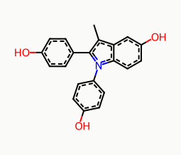 Cc1c(-c2ccc(O)cc2)n(-c2ccc(O)cc2)c2ccc(O)cc12